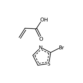 Brc1nccs1.C=CC(=O)O